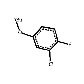 CC(C)(C)Oc1ccc(F)c(Cl)c1